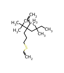 C=CCC(CCCSC=C)(CC(C)(C)CC)C(C)(C)C